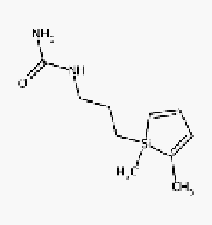 CC1=CC=C[Si]1(C)CCCNC(N)=O